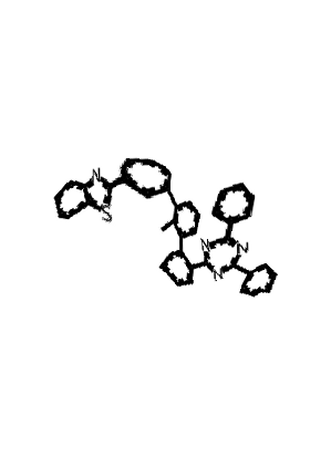 Cc1c(-c2cccc(-c3nc4ccccc4s3)c2)cccc1-c1ccccc1-c1nc(-c2ccccc2)nc(-c2ccccc2)n1